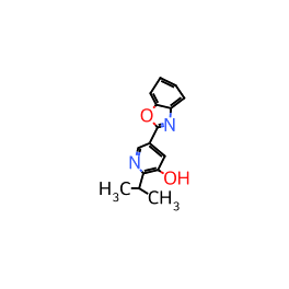 CC(C)c1ncc(-c2nc3ccccc3o2)cc1O